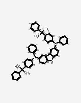 CC(C)(c1ccccc1)c1ccc(N(c2ccccc2)c2ccc3sc4ccc(N(c5ccccc5)c5ccc(C(C)(C)c6ccccc6)cc5)cc4c3c2)cc1